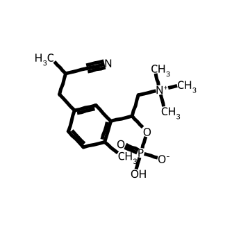 Cc1ccc(CC(C)C#N)cc1C(C[N+](C)(C)C)OP(=O)([O-])O